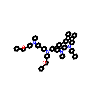 c1ccc(-c2ccc(N(c3ccc4c(c3)C3(c5ccccc5-c5cc(-c6ccc(-c7ccc(N(c8ccc(-c9ccc(N(c%10ccccc%10)c%10ccc(-c%11ccc(-c%12ccccc%12)o%11)cc%10)cc9)cc8)c8ccc(-c9ccc(-c%10ccccc%10)o9)cc8)cc7)cc6)ccc53)c3ccccc3-4)c3ccc4c5ccccc5n(-c5ccccc5)c4c3)cc2)cc1